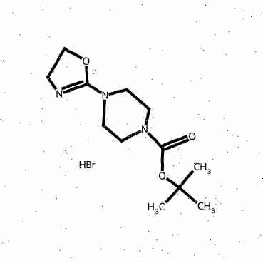 Br.CC(C)(C)OC(=O)N1CCN(C2=NCCO2)CC1